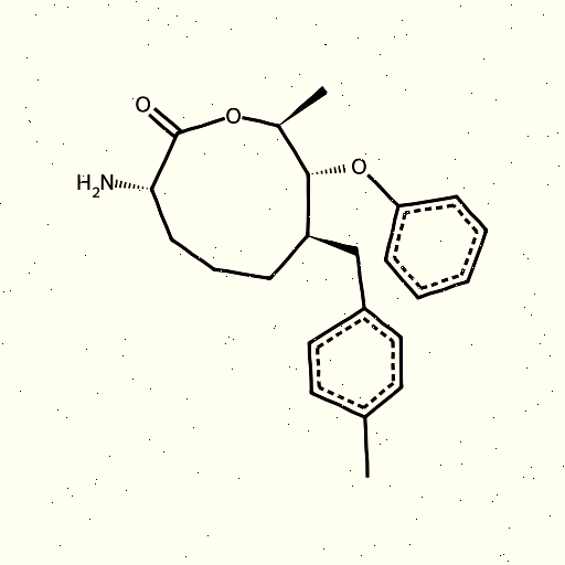 Cc1ccc(C[C@H]2CCC[C@H](N)C(=O)O[C@@H](C)[C@@H]2Oc2ccccc2)cc1